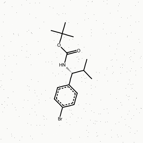 CC(C)[C@@H](NC(=O)OC(C)(C)C)c1ccc(Br)cc1